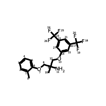 Cc1ccccc1OCC(C)(N)COc1cc(C(F)(F)F)cc(C(F)(F)F)c1